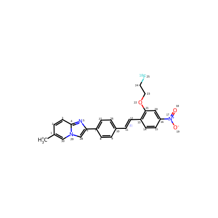 Cc1ccc2nc(-c3ccc(/C=C/c4ccc([N+](=O)[O-])cc4OCC[18F])cc3)cn2c1